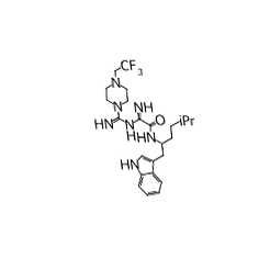 CC(C)CCC(Cc1c[nH]c2ccccc12)NC(=O)C(=N)NC(=N)N1CCN(CC(F)(F)F)CC1